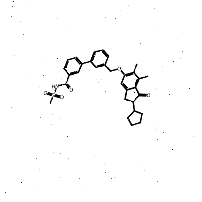 Cc1c(OCc2cccc(-c3cccc(C(=O)NS(C)(=O)=O)c3)c2)cc2c(c1C)C(=O)C(C1CCCC1)C2